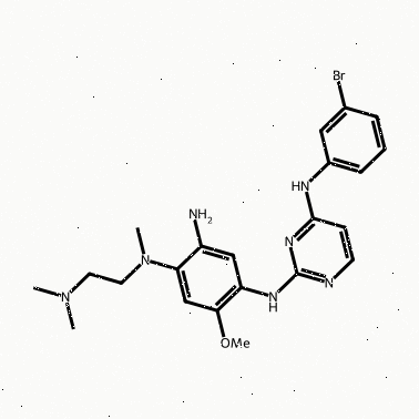 COc1cc(N(C)CCN(C)C)c(N)cc1Nc1nccc(Nc2cccc(Br)c2)n1